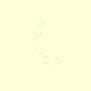 CC1(C)c2cccnc2-c2nc(-c3ccc(-c4ccc5oc6cc7c(cc6c5c4)oc4ccccc47)c4ccccc34)ccc21